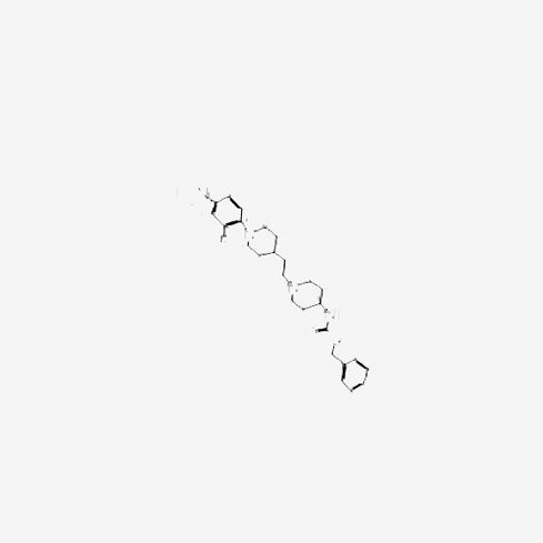 Nc1ccc(N2CCC(CCN3CCC(NC(=O)OCc4ccccc4)CC3)CC2)c(F)c1